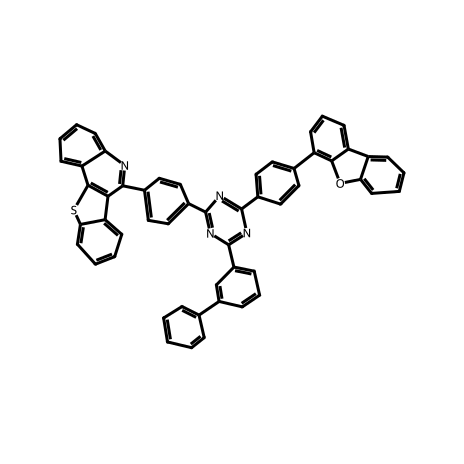 c1ccc(-c2cccc(-c3nc(-c4ccc(-c5cccc6c5oc5ccccc56)cc4)nc(-c4ccc(-c5nc6ccccc6c6sc7ccccc7c56)cc4)n3)c2)cc1